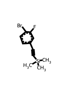 C[Si](C)(C)C#Cc1ccc(Br)c(F)c1